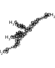 C=CC(=O)OCCCCCCOc1ccc(OC(=O)C2CCC(C(=O)Oc3ccc(-c4ccc(OC(=O)C5CCC(C(=O)Oc6ccc(OCCCCCCOC(=O)C=C)cc6)CC5)c(/C=N/Oc5nc6cc(OCC)ccc6s5)c4)cc3/C=N/Oc3nc4cc(OCC)ccc4s3)CC2)cc1